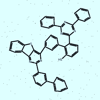 Sc1cccc(-c2nc(-c3ccccc3)nc(-c3ccccc3)n2)c1-c1cccc(-c2nc(-c3cccc(-c4ccccc4)c3)nc3c2sc2ccccc23)c1